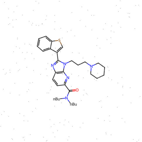 CCCCN(CCCC)C(=O)c1ccc2nc(-c3csc4ccccc34)n(CCCN3CCCCC3)c2n1